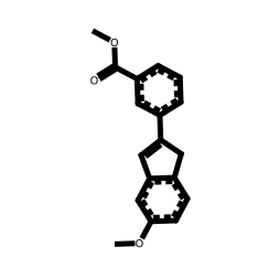 COC(=O)c1cccc(C2=Cc3cc(OC)ccc3C2)c1